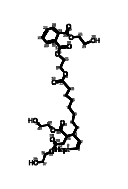 CCCCCCC/C=C\C(CCCCCCCC(=O)OCCOC(=O)c1ccccc1C(=O)OCCO)C(CC(=O)OCCO)C(=O)OCCO